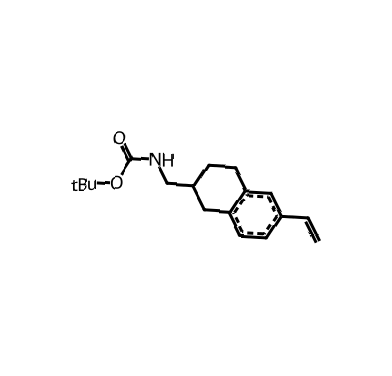 C=Cc1ccc2c(c1)CCC(CNC(=O)OC(C)(C)C)C2